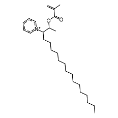 C=C(C)C(=O)OC(C)C(CCCCCCCCCCCCCCC)[n+]1ccccc1